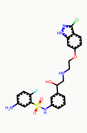 Nc1ccc(F)c(S(=O)(=O)Nc2cccc(C(O)CNCCOc3ccc4c(Cl)n[nH]c4c3)c2)c1